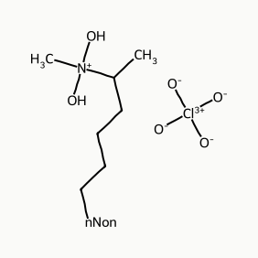 CCCCCCCCCCCCCC(C)[N+](C)(O)O.[O-][Cl+3]([O-])([O-])[O-]